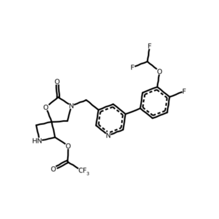 O=C1OC2(CNC2OC(=O)C(F)(F)F)CN1Cc1cncc(-c2ccc(F)c(OC(F)F)c2)c1